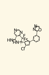 C[C@]1(c2sc(-c3cccc(-c4nnco4)c3)cc2Cl)NC(=N)c2cncnc2C1(F)F